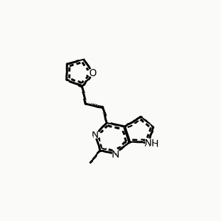 Cc1nc(CCc2ccco2)c2cc[nH]c2n1